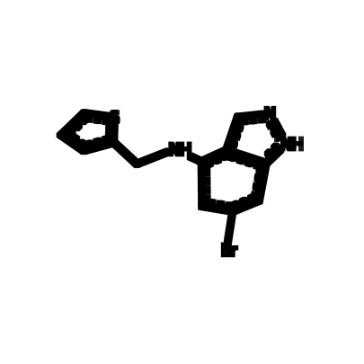 Brc1cc(NCc2cccs2)c2cn[nH]c2c1